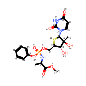 CC(C)OC(=O)C(C)NP(=O)(OC[C@H]1S[C@@H](n2ccc(=O)[nH]c2=O)[C@](C)(O)[C@@H]1O)Oc1ccccc1